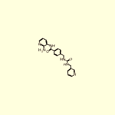 Nc1ncccc1NC(=O)c1ccc(CNC(=O)NCc2cccnc2)cc1